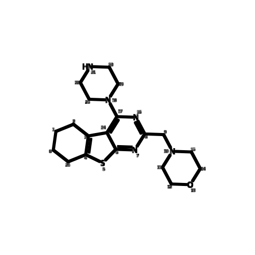 C1CCc2c(sc3nc(CN4CCOCC4)nc(N4CCNCC4)c23)C1